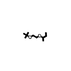 CCC(C)O[CH]COC(C)(C)C